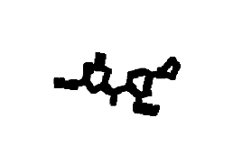 COC(=O)C/C(CO)=C(\C)c1ccc(N2CCC2)cc1OC